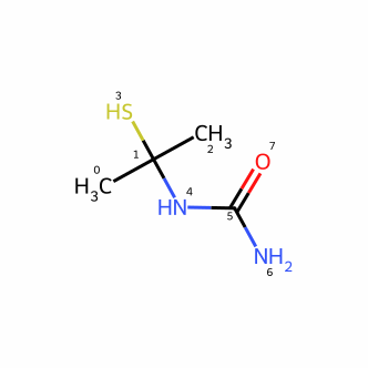 CC(C)(S)NC(N)=O